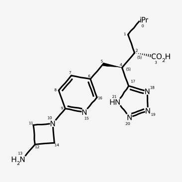 CC(C)C[C@H](C(=O)O)[C@H](Cc1ccc(N2CC(N)C2)nc1)c1nnn[nH]1